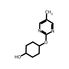 Cc1cnc(OC2CCC(O)CC2)nc1